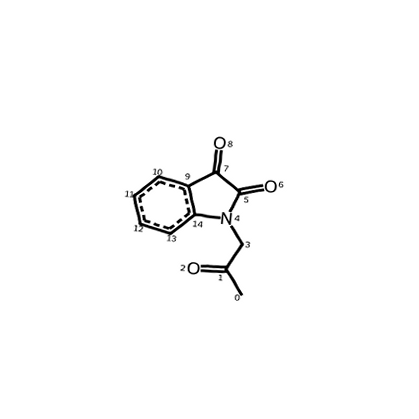 CC(=O)CN1C(=O)C(=O)c2ccccc21